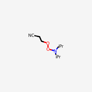 CC(C)N(OOCCC#N)C(C)C